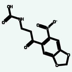 O=C(O)NCCC(=O)c1cc2c(cc1[N+](=O)[O-])OCO2